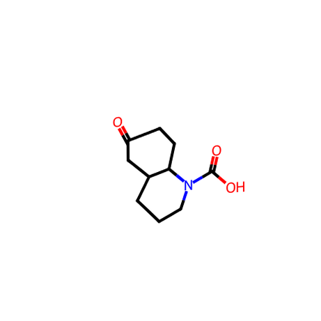 O=C1CCC2C(CCCN2C(=O)O)C1